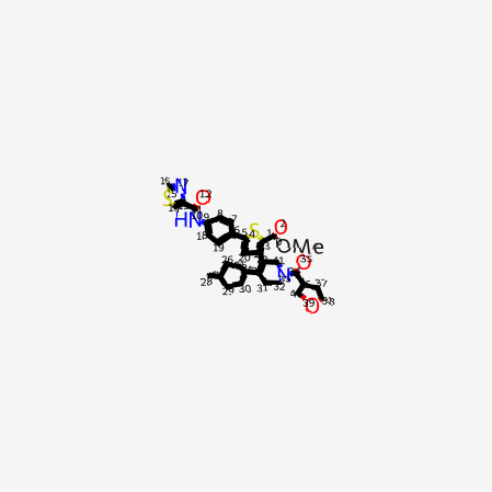 COC(=O)c1sc(-c2ccc(NC(=O)c3cscn3)cc2)cc1C1=C(C2CCC(C)CC2)CCN(C(=O)C2CCOC2)C1